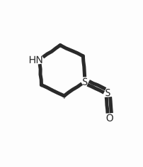 O=S=S1[CH]CNCC1